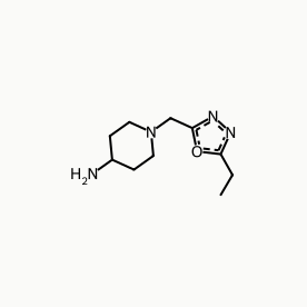 CCc1nnc(CN2CCC(N)CC2)o1